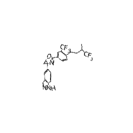 CC(CCc1ccc(C2=NC3(c4ccc5[nH]ncc5c4)C=C3O2)cc1C(F)(F)F)C(F)(F)F